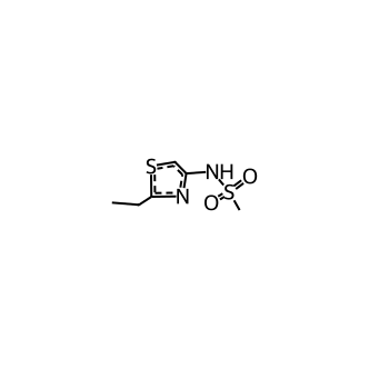 CCc1nc(NS(C)(=O)=O)cs1